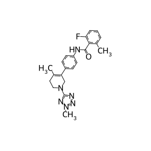 CC1=C(c2ccc(NC(=O)c3c(C)cccc3F)cc2)CN(c2nnn(C)n2)CC1